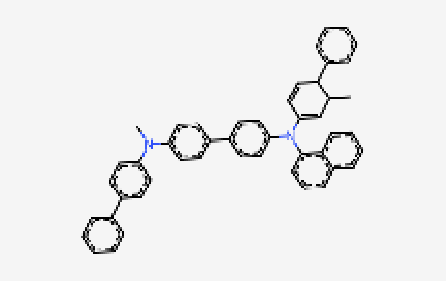 CC1C=C(N(c2ccc(-c3ccc(N(C)c4ccc(-c5ccccc5)cc4)cc3)cc2)c2cccc3ccccc23)C=CC1c1ccccc1